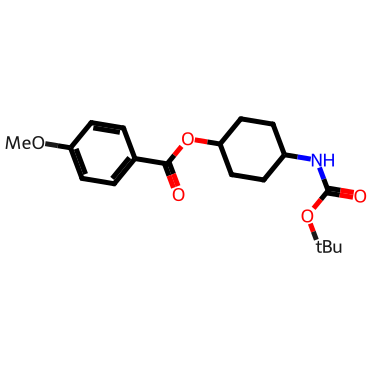 COc1ccc(C(=O)OC2CCC(NC(=O)OC(C)(C)C)CC2)cc1